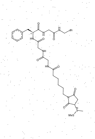 CS[SH](C)C1CC(=O)N(CCCCCC(=O)NCC(=O)NCC(=O)N[C@@H](Cc2ccccc2)C(=O)NCC(=O)NCC(C)C)C1=O